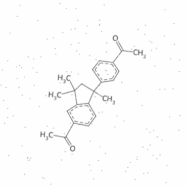 CC(=O)c1ccc(C2(C)CC(C)(C)c3cc(C(C)=O)ccc32)cc1